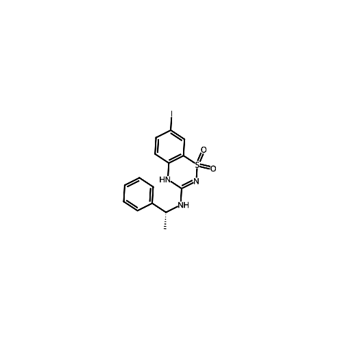 C[C@@H](NC1=NS(=O)(=O)c2cc(I)ccc2N1)c1ccccc1